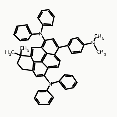 CN(C)c1ccc(-c2cc(N(c3ccccc3)c3ccccc3)c3cc4c5c(cc(N(c6ccccc6)c6ccccc6)c6ccc2c3c65)CCC4(C)C)cc1